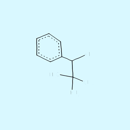 CC(C)(P)C(Cl)c1ccccc1